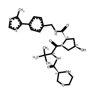 Cc1ncsc1-c1ccc(CNC(=O)[C@@H]2C[C@@H](O)CN2C(=O)[C@@H](NC(=O)[C@@H]2COCCN2)C(C)(C)C)cc1